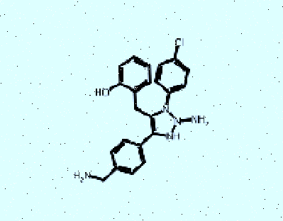 NCc1ccc(C2=C(Cc3ccccc3O)N(c3ccc(Cl)cc3)N(N)N2)cc1